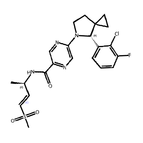 C[C@H](/C=C/S(C)(=O)=O)NC(=O)c1cnc(N2CCC3(CC3)[C@@H]2c2cccc(F)c2Cl)cn1